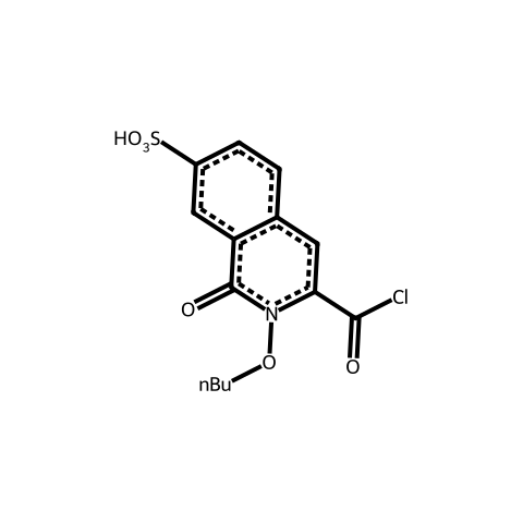 CCCCOn1c(C(=O)Cl)cc2ccc(S(=O)(=O)O)cc2c1=O